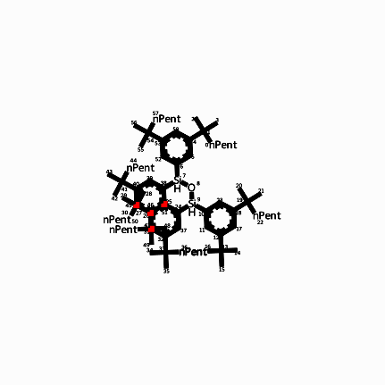 CCCCCC(C)(C)c1cc([SiH](O[SiH](c2cc(C(C)(C)CCCCC)cc(C(C)(C)CCCCC)c2)c2cc(C(C)(C)CCCCC)cc(C(C)(C)CCCCC)c2)c2cc(C(C)(C)CCCCC)cc(C(C)(C)CCCCC)c2)cc(C(C)(C)CCCCC)c1